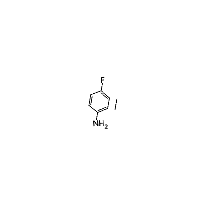 CC.Nc1ccc(F)cc1